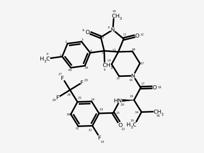 Cc1ccc(C2(C)C(=O)N(C)C(=O)C23CCN(C(=O)[C@H](NC(=O)c2cc(C(F)(F)F)ccc2F)C(C)C)CC3)cc1